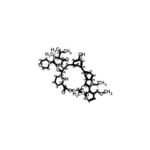 CCn1c(-c2cnccc2COC)c2c3cc(ccc31)-c1cc(O)cc(c1)C[C@H](NC(=O)C(C(C)C)N(C)C(=O)N1CCOCC1)C(=O)N1CCC[C@H](N1)C(=O)OCC(C)(C)C2